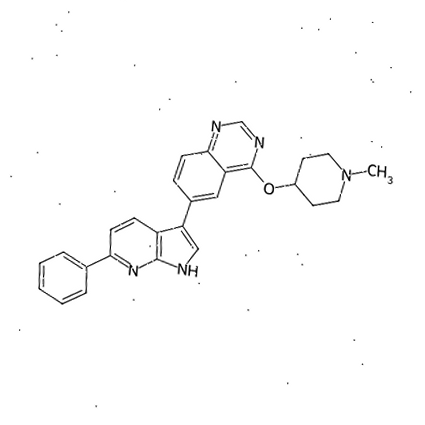 CN1CCC(Oc2ncnc3ccc(-c4c[nH]c5nc(-c6ccccc6)ccc45)cc23)CC1